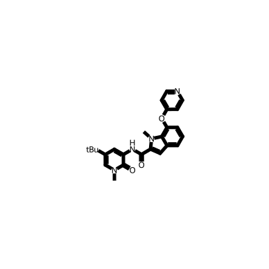 Cn1cc(C(C)(C)C)cc(NC(=O)c2cc3cccc(Oc4ccncc4)c3n2C)c1=O